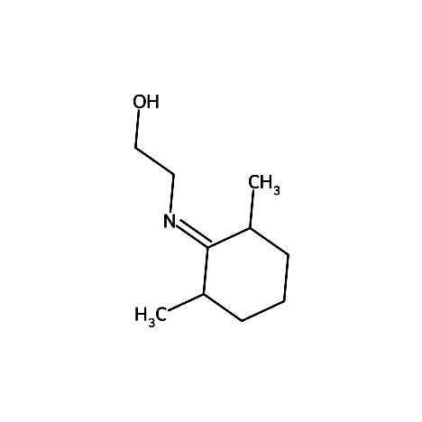 CC1CCCC(C)C1=NCCO